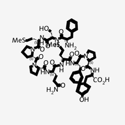 CSCC[C@H](NC(=O)[C@H](CCC(N)=O)NC(=O)[C@@H]1CCCN1C(=O)[C@@H]1CCCN1C(=O)[C@H](CCSC)NC(=O)[C@H](CO)NC(=O)[C@@H](N)Cc1ccccc1)C(=O)N[C@@H](Cc1ccccc1)C(=O)N1CCC[C@H]1C(=O)N[C@@H](Cc1ccc(O)cc1)C(=O)O